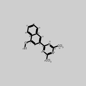 CCOc1cc(-c2nc(C(Cl)(Cl)Cl)nc(C(Cl)(Cl)Cl)n2)cc2ccccc12